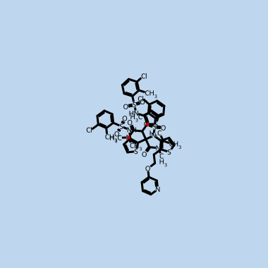 Cc1c(Cl)cccc1S(=O)(=O)Nc1ccsc1C(C(=O)N(C)C)C(C(=O)N(C)C(C)C)(c1sccc1NS(=O)(=O)c1cccc(Cl)c1C)N(c1ccsc1CCOc1cccnc1)S(=O)(=O)c1cccc(Cl)c1C